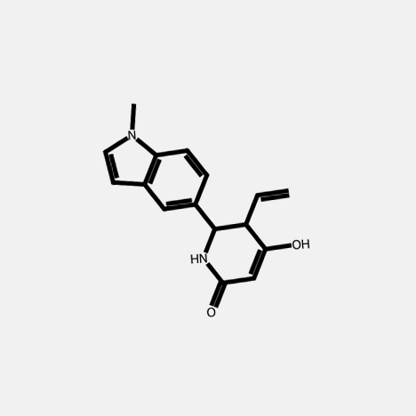 C=CC1C(O)=CC(=O)NC1c1ccc2c(ccn2C)c1